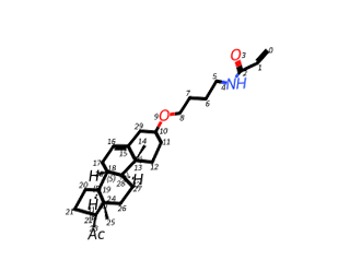 C=CC(=O)NCCCCOC1CC[C@@]2(C)C(=CC[C@H]3[C@@H]4CC[C@H](C(C)=O)[C@@]4(C)CC[C@@H]32)C1